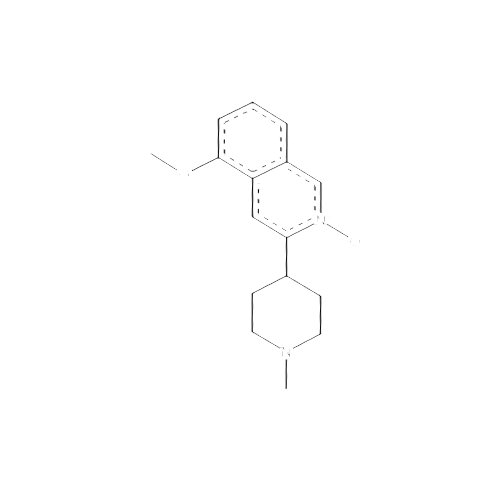 COc1cccc2c[n+]([O-])c(C3CCN(C)CC3)cc12